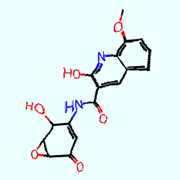 COc1cccc2cc(C(=O)NC3=CC(=O)C4OC4C3O)c(O)nc12